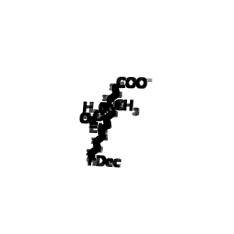 CCCCCCCCCCCCCCCCC(C[N+](C)(C)CCCC(=O)[O-])OC(=O)CC